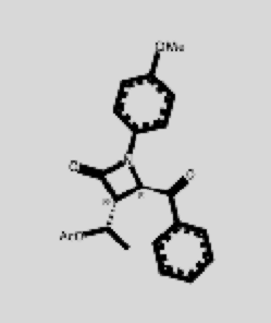 COc1ccc(N2C(=O)[C@@H](C(C)OC(C)=O)[C@@H]2C(=O)c2ccccc2)cc1